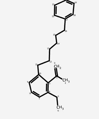 C=C(C)c1c(CC)cccc1CCCCCCc1ccccc1